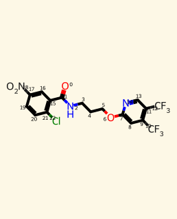 O=C(NCCCOc1cc(C(F)(F)F)c(C(F)(F)F)cn1)c1cc([N+](=O)[O-])ccc1Cl